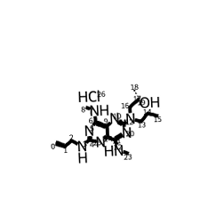 C=CCNc1nc(NC)c2nc(N(CCC)C[C@H](C)O)nc(NC)c2n1.Cl